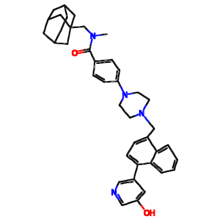 CN(CC12CC3CC(CC(C3)C1)C2)C(=O)c1ccc(N2CCN(Cc3ccc(-c4cncc(O)c4)c4ccccc34)CC2)cc1